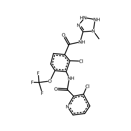 CN1NNN=C1NC(=O)c1ccc(OC(F)(F)F)c(NC(=O)c2ncccc2Cl)c1Cl